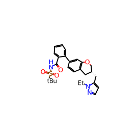 CCn1nccc1C[C@H]1COc2cc(-c3ccccc3C(=O)NS(=O)(=O)C(C)(C)C)ccc2C1